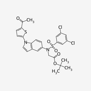 CC(=O)c1ccc(-n2ccc3cc(N(CC(=O)OC(C)(C)C)S(=O)(=O)c4cc(Cl)cc(Cl)c4)ccc32)s1